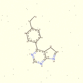 CCc1ccc(-c2ncnc3c2CC=N3)cc1